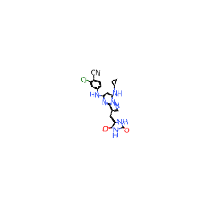 N#Cc1ccc(Nc2cc(NC3CC3)n3ncc(/C=C4\NC(=O)NC4=O)c3n2)cc1Cl